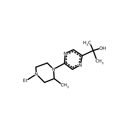 CCN1CCN(c2cnc(C(C)(C)O)cn2)C(C)C1